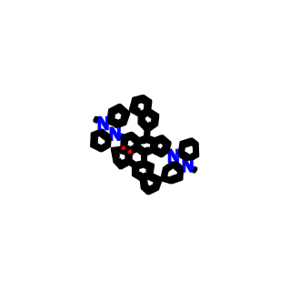 CN1C2=C(CCC=C2)N(c2ccc3c(-c4ccc5ccccc5c4)c4cc(N5C6=C(C=CCC6)N(C)c6ccccc65)ccc4c(-c4cc5ccccc5cc4-c4ccccc4)c3c2)C2=C1CCC=C2